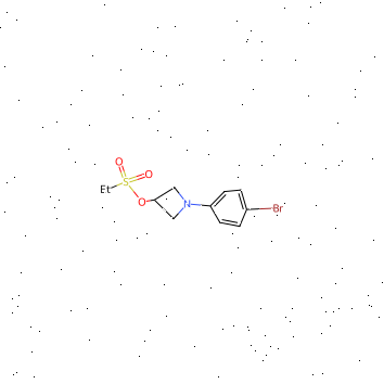 CCS(=O)(=O)OC1CN(c2ccc(Br)cc2)C1